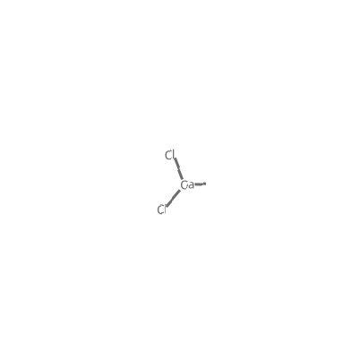 [CH3][Ga]([Cl])[Cl]